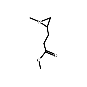 COC(=O)CCC1CN1C